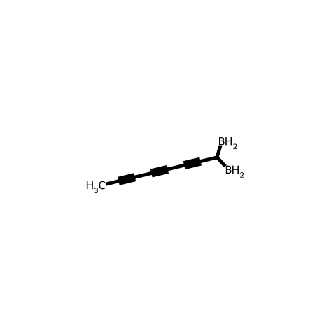 BC(B)C#CC#CC#CC